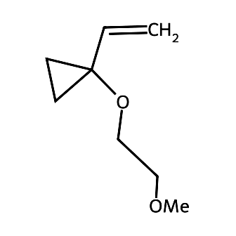 C=CC1(OCCOC)CC1